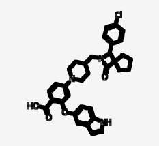 O=C(O)c1ccc(N2CCC(CN3C(=O)C4(CCCC4)C3c3ccc(Cl)cc3)CC2)cc1Oc1ccc2[nH]ccc2c1